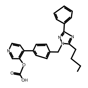 CCCCc1nc(-c2ccccc2)nn1Cc1ccc(-c2ccncc2OC(=O)O)cc1